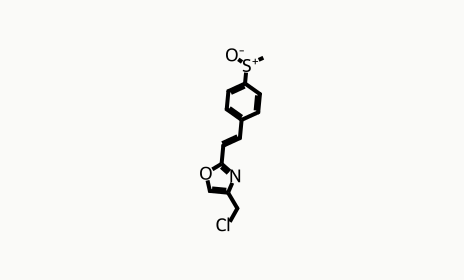 C[S+]([O-])c1ccc(C=Cc2nc(CCl)co2)cc1